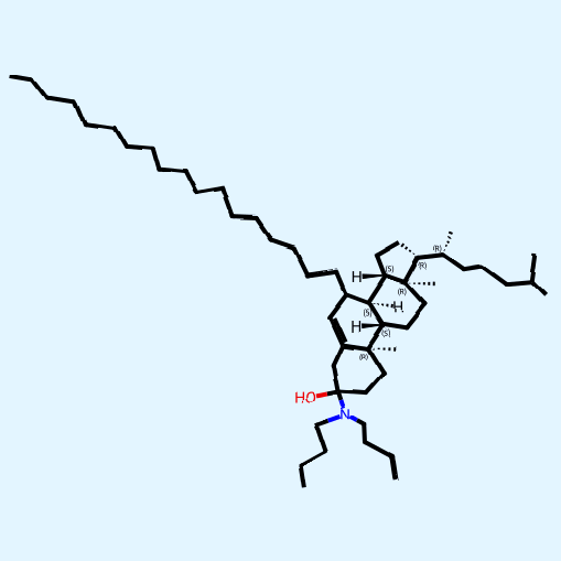 CCCCCCCCCCCCCCCCCCC1C=C2CC(O)(N(CCCC)CCCC)CC[C@]2(C)[C@H]2CC[C@]3(C)[C@@H]([C@H](C)CCCC(C)C)CC[C@H]3[C@H]12